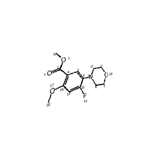 COC(=O)c1cc(N2CCOCC2)c(F)cc1OC